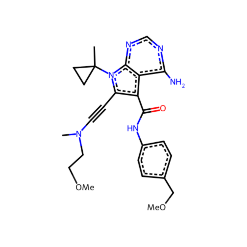 COCCN(C)C#Cc1c(C(=O)Nc2ccc(COC)cc2)c2c(N)ncnc2n1C1(C)CC1